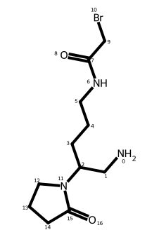 NCC(CCCNC(=O)CBr)N1CCCC1=O